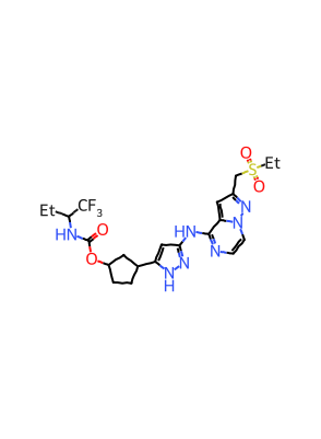 CCC(NC(=O)OC1CCC(c2cc(Nc3nccn4nc(CS(=O)(=O)CC)cc34)n[nH]2)C1)C(F)(F)F